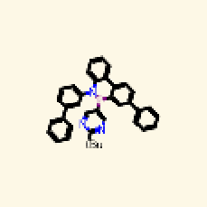 CC(C)(C)c1ncc(P2c3cc(-c4ccccc4)ccc3-c3ccccc3N2c2cccc(-c3ccccc3)c2)cn1